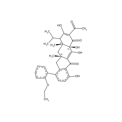 CCOc1ccccc1-c1ccc(O)c2c1C[C@]1(C)C[C@]3(C)C(C(C)C)C(O)=C(C(C)=O)C(=O)[C@]3(O)C(O)=C1C2=O